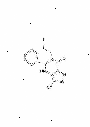 N#Cc1cnn2c(=O)c(CCF)c(-c3ccccc3)[nH]c12